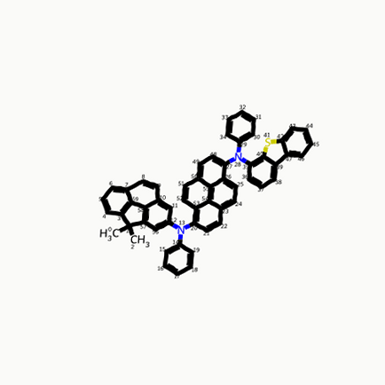 CC1(C)c2cccc3ccc4cc(N(c5ccccc5)c5ccc6ccc7c(N(c8ccccc8)c8cccc9c8sc8ccccc89)ccc8ccc5c6c87)cc1c4c23